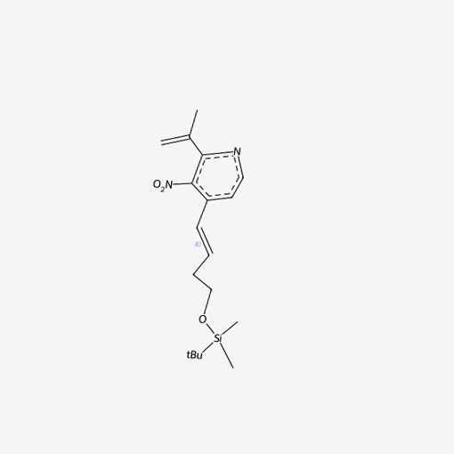 C=C(C)c1nccc(/C=C/CCO[Si](C)(C)C(C)(C)C)c1[N+](=O)[O-]